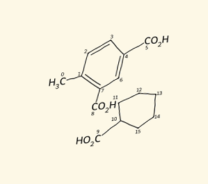 Cc1ccc(C(=O)O)cc1C(=O)O.O=C(O)C1CCCCC1